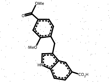 COC(=O)c1ccc(Cc2c[nH]c3ccc(C(=O)O)cc23)c(OC)c1